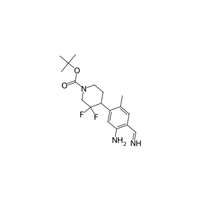 Cc1cc(C=N)c(N)cc1C1CCN(C(=O)OC(C)(C)C)CC1(F)F